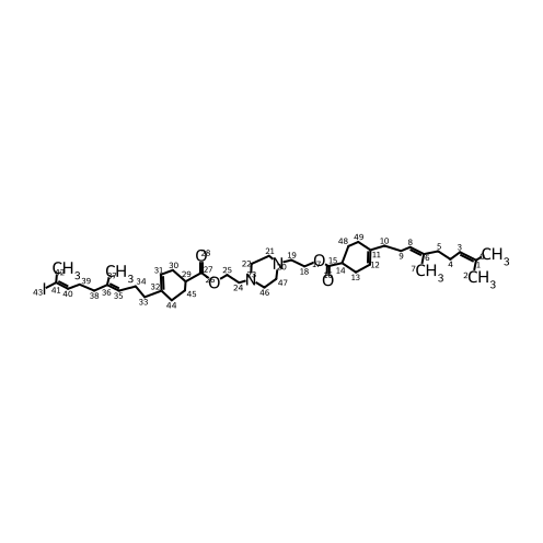 CC(C)=CCC/C(C)=C/CCC1=CCC(C(=O)OCCN2CCN(CCOC(=O)C3CC=C(CC/C=C(\C)CC/C=C(\C)I)CC3)CC2)CC1